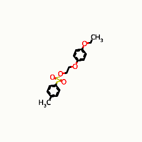 CCOc1ccc(OCCOS(=O)(=O)c2ccc(C)cc2)cc1